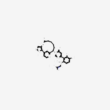 C[C@@H]1CCC[C@H](n2cnc(-c3c(N(N)/C=C(\N)Cl)ccc(Cl)c3F)cc2=O)c2cc(ccn2)-c2[nH]ncc2NC1=O